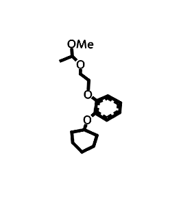 COC(C)OCCOc1ccccc1OC1CCCCC1